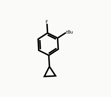 CC(C)(C)c1cc(C2CC2)ccc1F